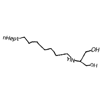 CCCCCCCCCCCCCCNC(CO)CO